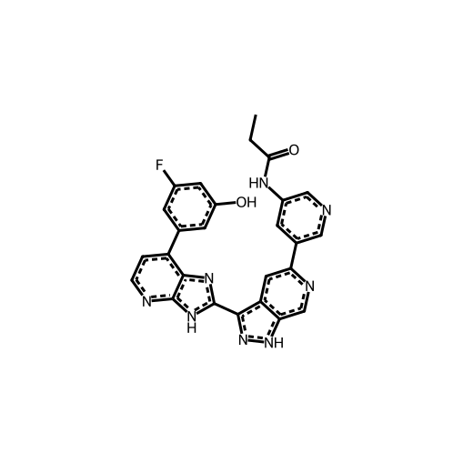 CCC(=O)Nc1cncc(-c2cc3c(-c4nc5c(-c6cc(O)cc(F)c6)ccnc5[nH]4)n[nH]c3cn2)c1